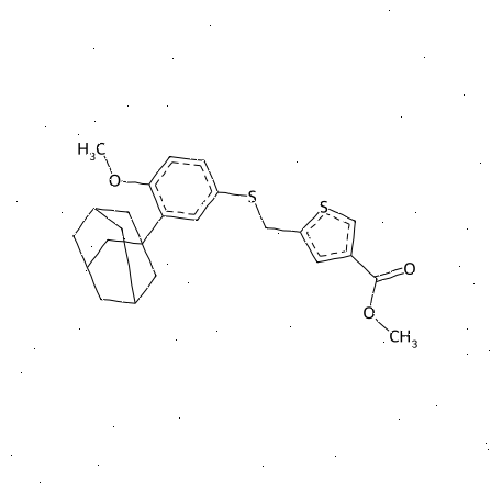 COC(=O)c1csc(CSc2ccc(OC)c(C34CC5CC(CC(C5)C3)C4)c2)c1